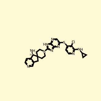 N[C@@H]1c2ccncc2CC12CCN(c1nc3nc(Sc4ccnc(NC5CC5)c4Cl)cnc3[nH]1)CC2